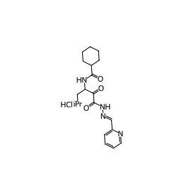 CC(C)CC(NC(=O)C1CCCCC1)C(=O)C(=O)NN=Cc1ccccn1.Cl